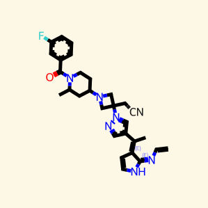 C=C/N=C1/NC=C/C1=C(/C)c1cnn(C2(CC#N)CN(C3CCN(C(=O)c4cccc(F)c4)C(C)C3)C2)c1